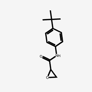 CC(C)(C)c1ccc(NC(=O)C2CO2)cc1